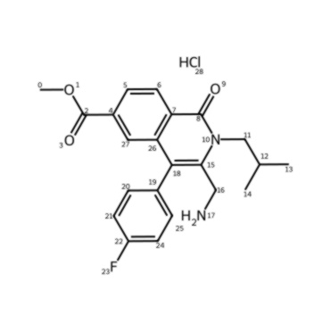 COC(=O)c1ccc2c(=O)n(CC(C)C)c(CN)c(-c3ccc(F)cc3)c2c1.Cl